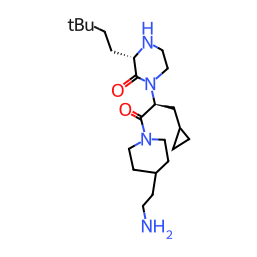 CC(C)(C)CC[C@@H]1NCCN([C@@H](CC2CC2)C(=O)N2CCC(CCN)CC2)C1=O